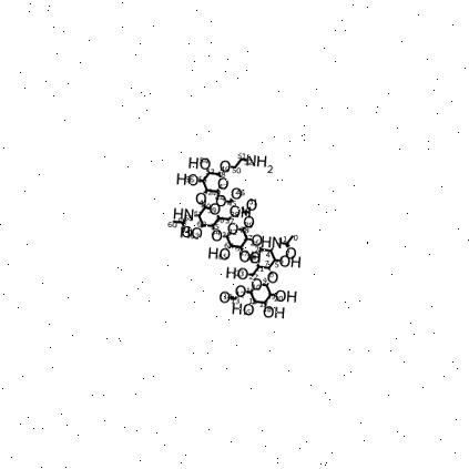 CC(=O)N[C@H]1C(O)[C@H](O[C@@H]2OC(OC=O)[C@@H](O)C(O)[C@@H]2O)C(CO)O[C@@H]1O[C@@H]1C(OC=O)O[C@@H](O[C@@H]2C(CO)O[C@H](O[C@@H]3C(OC=O)O[C@@H](OCCN)[C@@H](O)C3O)[C@@H](NC(C)=O)C2O)[C@@H](O)C1O